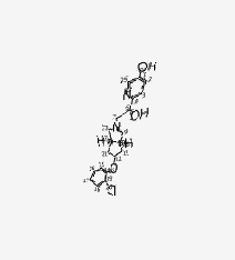 Oc1ccc(C(O)CN2C[C@H]3CC(Oc4ccccc4Cl)C[C@H]3C2)nc1